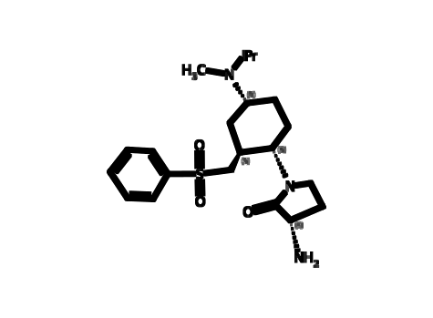 CC(C)N(C)[C@@H]1CC[C@H](N2CC[C@H](N)C2=O)[C@@H](CS(=O)(=O)c2ccccc2)C1